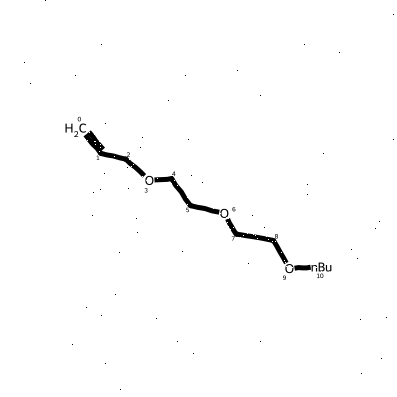 C=CCOCCOCCOCCCC